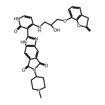 C=C1Cc2cccc(OCC(O)CNc3cc[nH]c(=O)c3-c3nc4cc5c(cc4[nH]3)C(=O)N(C3CCN(C)CC3)C5=O)c2O1